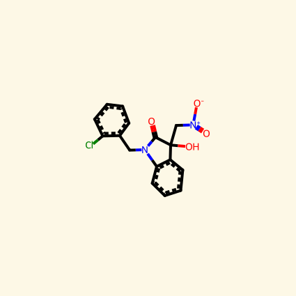 O=C1N(Cc2ccccc2Cl)c2ccccc2C1(O)C[N+](=O)[O-]